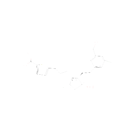 CC(C)OC(=O)c1ccc(CCC[C@@H]2[C@@H](CCc3cc(Cl)cc(CO)c3)[C@H](O)C[C@@H]2Cl)s1